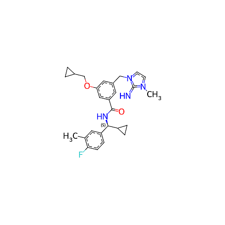 Cc1cc([C@@H](NC(=O)c2cc(Cn3ccn(C)c3=N)cc(OCC3CC3)c2)C2CC2)ccc1F